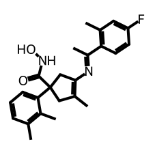 CC1=C(/N=C(\C)c2ccc(F)cc2C)CC(C(=O)NO)(c2cccc(C)c2C)C1